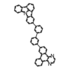 c1cc(-c2cccc(-c3ccc4c(c3)c3cccc5c6ccccc6n4c53)c2)cc(-c2ccc3c(c2)c2ccccc2c2nccnc32)c1